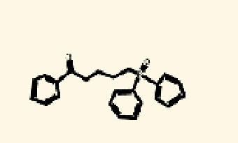 O=C(CCCCP(=O)(c1ccccc1)c1ccccc1)c1ccccc1